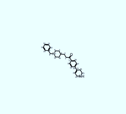 O=C(CCC1CCN(Cc2ccccc2)CC1)c1ccc(C2=CCNCC2)cc1